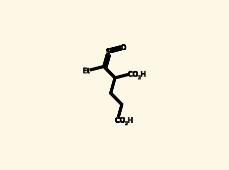 CCC(=S=O)C(CCC(=O)O)C(=O)O